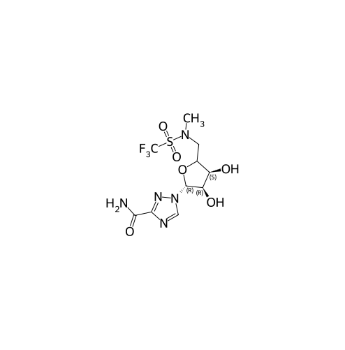 CN(CC1O[C@@H](n2cnc(C(N)=O)n2)[C@H](O)[C@@H]1O)S(=O)(=O)C(F)(F)F